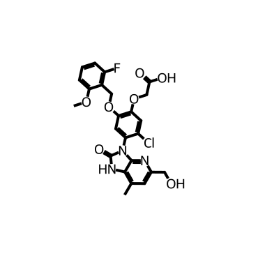 COc1cccc(F)c1COc1cc(-n2c(=O)[nH]c3c(C)cc(CO)nc32)c(Cl)cc1OCC(=O)O